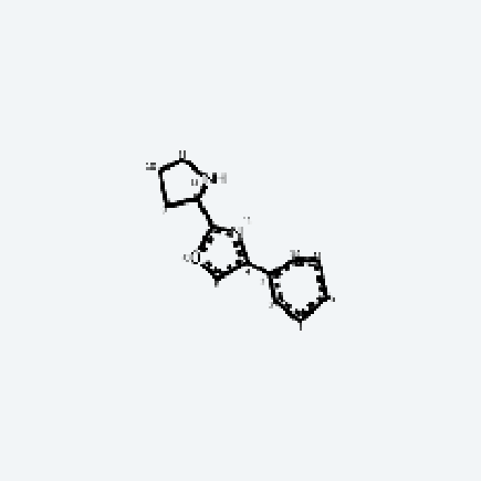 c1ccc(-c2coc(C3CCCN3)n2)cc1